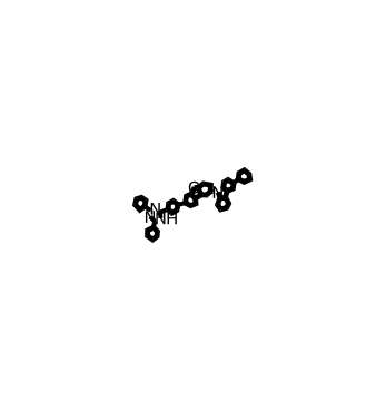 c1ccc(C2=NC(c3ccccc3)NC(c3ccc(-c4ccc5c(c4)oc4ccc(-n6c7ccccc7c7cc(-c8ccccc8)ccc76)cc45)cc3)=N2)cc1